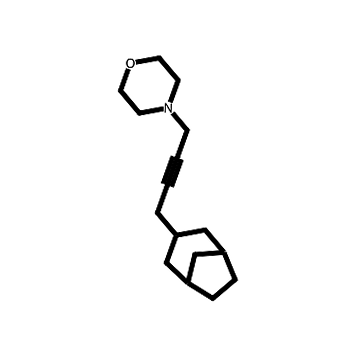 C(#CCN1CCOCC1)CC1CC2CCC(C1)C2